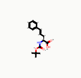 CC(C)(C)OC(=O)N[C@@H](CC=Cc1ccccc1)C(=O)O